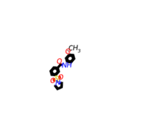 COc1cccc(NC(=O)c2cccc(S(=O)(=O)N3CCCC3)c2)c1